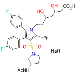 CC(=O)NC1CCN(S(=O)(=O)c2c(-c3ccc(F)cc3)c(-c3ccc(F)cc3)n(CCC(O)CC(O)CC(=O)O)c2C(C)C)C1.[NaH]